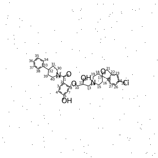 O=C(c1ccc(O)cc1OC[C@@H](O)CN1CCC2(CC1)OCc1cc(Cl)ccc12)N1CCC(c2ccccc2)CC1